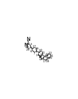 N#Cc1cc(-c2ccc(-c3ccc4c(c3)sc3ccc5ccccc5c34)cc2)ccn1